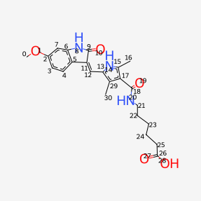 COc1ccc2c(c1)NC(=O)/C2=C\c1[nH]c(C)c(C(=O)NCCCCCC(=O)O)c1C